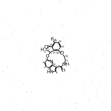 CC1Oc2ccc3[nH]cc(c3n2)C(=O)NCCOc2ccc(F)c(Cl)c21